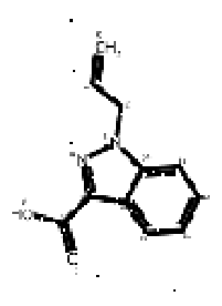 C=CCn1nc(C(=O)O)c2ccccc21